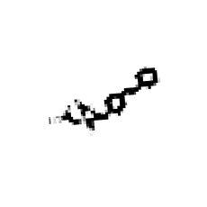 O=C(O)CN1C(=O)C(=Cc2ccc(C=Cc3ccccc3)cc2)SC1=S